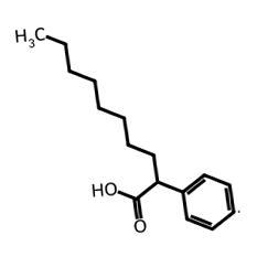 CCCCCCCCC(C(=O)O)c1cc[c]cc1